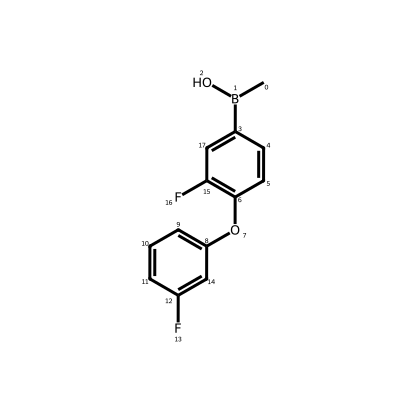 CB(O)c1ccc(Oc2cccc(F)c2)c(F)c1